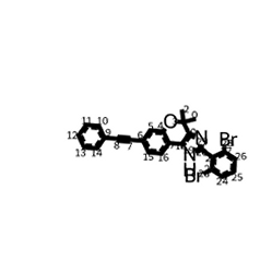 CC1(C)Oc2cc(C#Cc3ccccc3)ccc2-c2[nH]c(-c3c(Br)cccc3Br)nc21